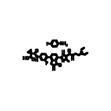 CCN(CC)CCNC(=O)c1[nH]c(-c2ccc(-c3ccc(NC(=O)C4(C(=O)O)CC4)cc3F)c3c2C(=O)NC3)nc1C.Nc1ccc(F)cc1